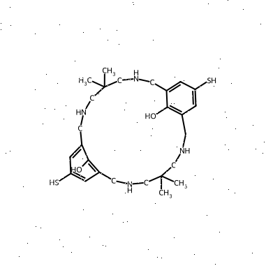 CC1(C)CNCc2cc(S)cc(c2O)CNCC(C)(C)CNCc2cc(S)cc(c2O)CNC1